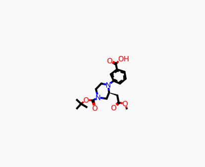 COC(=O)C[C@H]1CN(C(=O)OC(C)(C)C)CCN1c1cccc(C(=O)O)c1